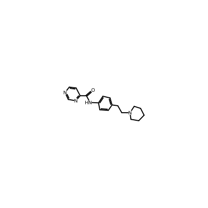 O=C(Nc1ccc(CCN2CCCCC2)cc1)c1ccncn1